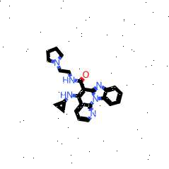 O=C(NCCN1CCCC1)c1c(NC2CC2)c2cccnc2n2c1nc1ccccc12